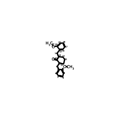 COc1ccccc1CC1CCCC(Cc2ccccc2OC)C1=O